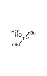 CCC[CH2][Ti+2][CH2]CCC.[OH-].[OH-]